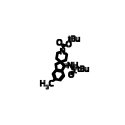 Cc1ccc2c(c1)CC1(CCN(C(=O)OC(C)(C)C)CC1)[C@@H]2N[S@+]([O-])C(C)(C)C